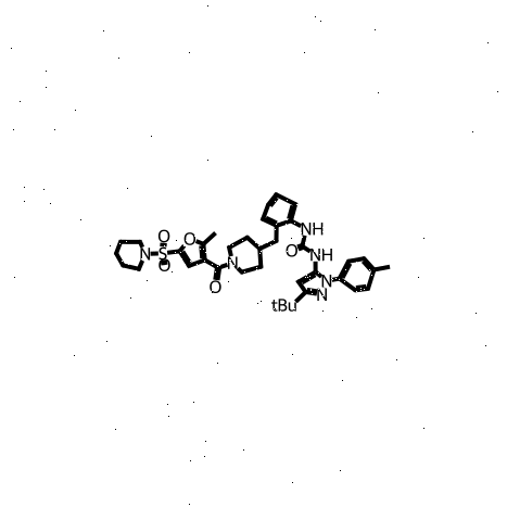 Cc1ccc(-n2nc(C(C)(C)C)cc2NC(=O)Nc2ccccc2CC2CCN(C(=O)c3cc(S(=O)(=O)N4CCCCC4)oc3C)CC2)cc1